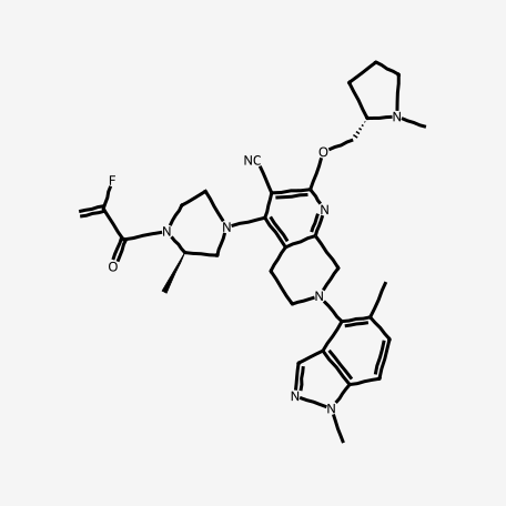 C=C(F)C(=O)N1CCN(c2c(C#N)c(OC[C@@H]3CCCN3C)nc3c2CCN(c2c(C)ccc4c2cnn4C)C3)C[C@H]1C